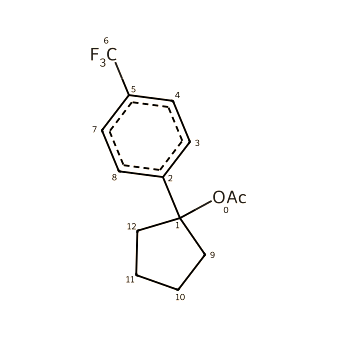 CC(=O)OC1(c2ccc(C(F)(F)F)cc2)CCCC1